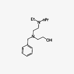 CCCN(CC)CCN(CCO)Cc1ccccc1